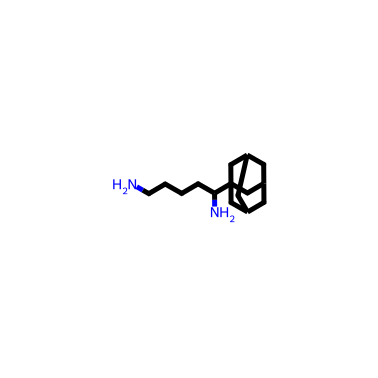 NCCCCC(N)C12CC3CC(CC(C3)C1)C2